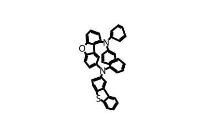 c1ccc(N(c2ccc3sc4ccccc4c3c2)c2ccc3oc4cccc(N(c5ccccc5)c5ccccc5)c4c3c2)cc1